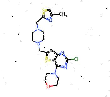 Cc1csc(CN2CCN(Cc3cc4nc(Cl)nc(N5CCOCC5)c4s3)CC2)n1